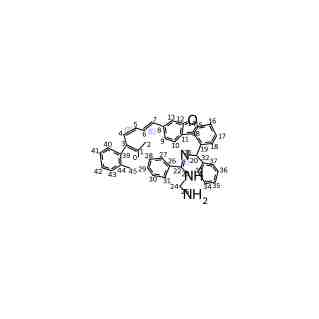 CC(C)=C(/C=C\C=C\c1ccc2c(c1)oc1cccc(C(/N=C(\NCN)c3ccccc3)c3ccccc3)c12)c1ccccc1C